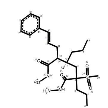 CCCC(C[C@](C)(CCC)[C@H](C/C=C/c1ccccc1)C(=O)NO)(C(=O)NN)S(C)(=O)=O